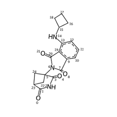 O=C1NC(=O)C2(N3C(=O)c4cccc(NC5CCC5)c4C3=O)CC1C2